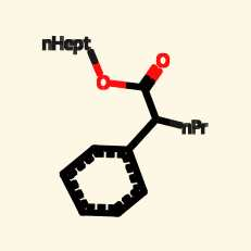 CCCCCCCOC(=O)C(CCC)c1ccccc1